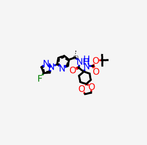 C[C@H](NC(=O)C1(NC(=O)OC(C)(C)C)CCC2(CC1)OCCO2)c1ccc(-n2cc(F)cn2)nc1